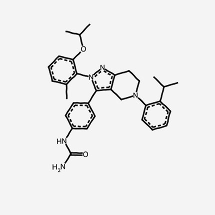 Cc1cccc(OC(C)C)c1-n1nc2c(c1-c1ccc(NC(N)=O)cc1)CN(c1ccccc1C(C)C)CC2